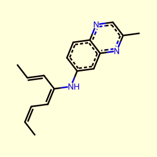 C\C=C/C=C(\C=C\C)Nc1ccc2ncc(C)nc2c1